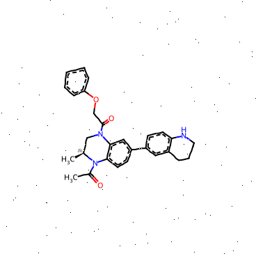 CC(=O)N1c2ccc(-c3ccc4c(c3)CCCN4)cc2N(C(=O)COc2ccccc2)C[C@@H]1C